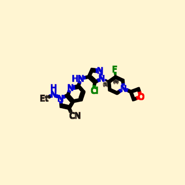 CCNn1cc(C#N)c2ccc(Nc3cnn([C@H]4CCN(C5COC5)C[C@@H]4F)c3Cl)nc21